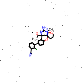 CN/C(N)=N\C1(C(C)=O)CC2(CCCOC2)Oc2ccc(-c3cccc(C#N)c3F)cc21